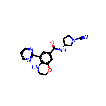 N#CN1CC[C@@H](NC(=O)c2cc3c(c(-c4ncccn4)c2)NCCO3)C1